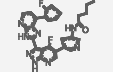 CCCCC(=O)Nc1cncc(-c2cnc3[nH]nc(-c4nc5c(-c6ccccc6F)ccnc5[nH]4)c3c2F)c1